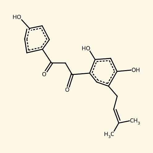 CC(C)=CCc1cc(C(=O)CC(=O)c2ccc(O)cc2)c(O)cc1O